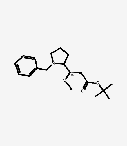 CO[C@H](CC(=O)OC(C)(C)C)C1CCCN1Cc1ccccc1